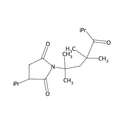 CC(C)C(=O)C(C)(C)CC(C)(C)N1C(=O)CC(C(C)C)C1=O